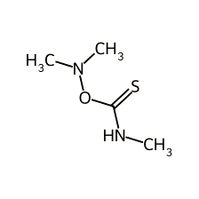 CNC(=S)ON(C)C